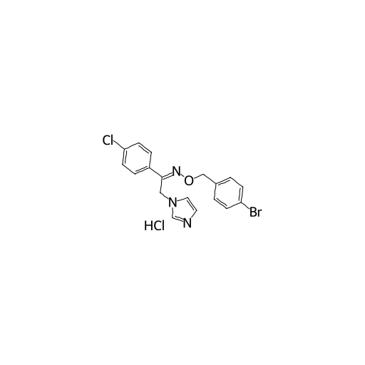 Cl.Clc1ccc(C(Cn2ccnc2)=NOCc2ccc(Br)cc2)cc1